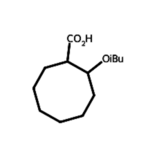 CC(C)COC1CCCCCCC1C(=O)O